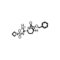 NC(=NS(=O)(=O)N1CCC1)[C@@H]1CC[C@@H]2CN1C(=O)N2OCc1ccccc1